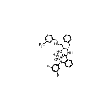 CS(=O)(=O)N(c1cc(F)cc(F)c1)c1ccccc1C(=O)N[C@@H](Cc1ccccc1)[C@H](O)CNCc1cccc(C(F)(F)F)c1